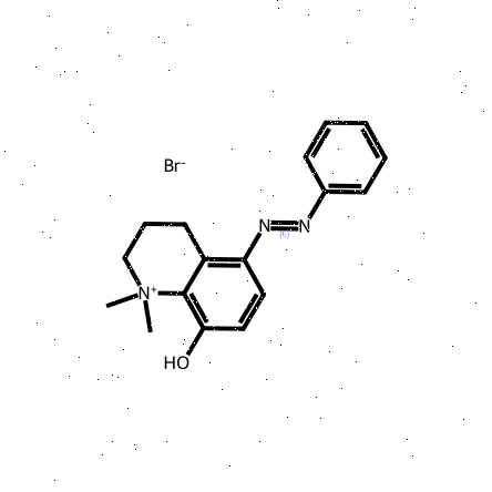 C[N+]1(C)CCCc2c(/N=N/c3ccccc3)ccc(O)c21.[Br-]